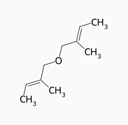 C/C=C(\C)COC/C(C)=C/C